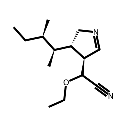 CCOC(C#N)[C@@H]1C=NC[C@H]1[C@@H](C)[C@H](C)CC